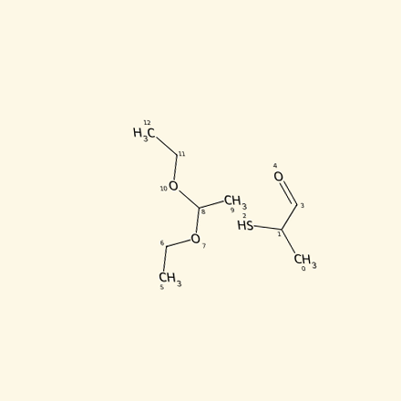 CC(S)C=O.CCOC(C)OCC